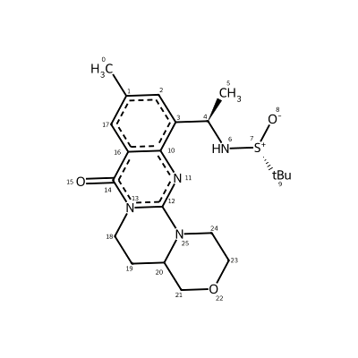 Cc1cc([C@@H](C)N[S@+]([O-])C(C)(C)C)c2nc3n(c(=O)c2c1)CCC1COCCN31